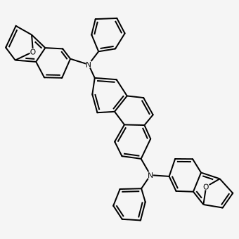 c1ccc(N(c2ccc3c(ccc4cc(N(c5ccccc5)c5ccc6c7ccc(o7)c6c5)ccc43)c2)c2ccc3c4ccc(o4)c3c2)cc1